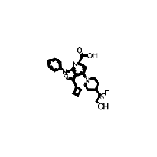 O=C(O)c1cc(N2CCC([C@@H](F)CO)CC2)c2c(C3CCC3)nn(-c3ccccc3)c2n1